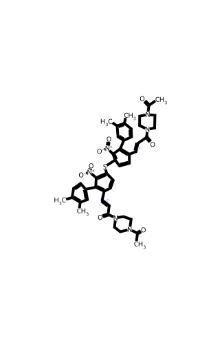 CC(=O)N1CCN(C(=O)/C=C/c2ccc(Sc3ccc(/C=C/C(=O)N4CCN(C(C)=O)CC4)c(-c4ccc(C)c(C)c4)c3[N+](=O)[O-])c([N+](=O)[O-])c2-c2ccc(C)c(C)c2)CC1